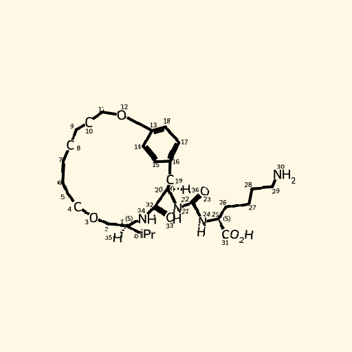 CC(C)[C@H]1COCCCCCCCCOc2ccc(cc2)C[C@@H](NC(=O)N[C@@H](CCCCN)C(=O)O)C(=O)N1